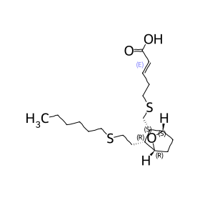 CCCCCCSCC[C@@H]1[C@H](CSCC/C=C/C(=O)O)[C@@H]2CC[C@H]1O2